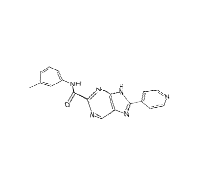 Cc1cccc(NC(=O)c2ncc3nc(-c4ccncc4)[nH]c3n2)c1